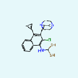 SC(S)Nc1c(Cl)c(C2CN3CCN2CC3)c(C2CC2)c2ccccc12